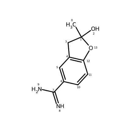 CC1(O)Cc2cc(C(=N)N)ccc2O1